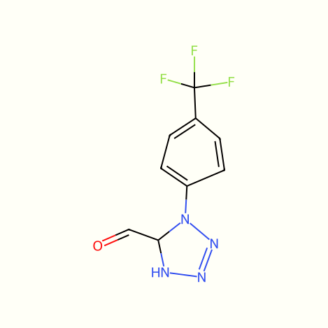 O=CC1NN=NN1c1ccc(C(F)(F)F)cc1